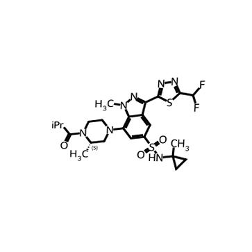 CC(C)C(=O)N1CCN(c2cc(S(=O)(=O)NC3(C)CC3)cc3c(-c4nnc(C(F)F)s4)nn(C)c23)C[C@@H]1C